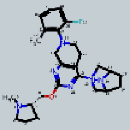 CN1CCC[C@H]1COc1nc2c(c(N3CC4CCC(C3)N4)n1)CCN(c1c(F)cccc1C(F)(F)F)C2